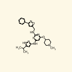 CC(C)c1cc(Nc2cc(OC3CCN(C)CC3)nc(NCc3cc(-c4ccccc4)no3)n2)n[nH]1